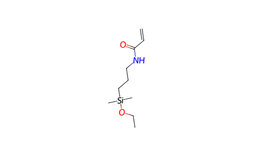 C=CC(=O)NCCC[Si](C)(C)OCC